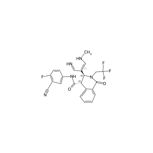 CN/C=C(\C=N)[C@@H]1[C@@H](C(=O)Nc2ccc(F)c(C#N)c2)c2ccccc2C(=O)N1CC(F)(F)F